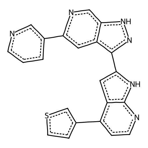 c1cncc(-c2cc3c(-c4cc5c(-c6ccsc6)ccnc5[nH]4)n[nH]c3cn2)c1